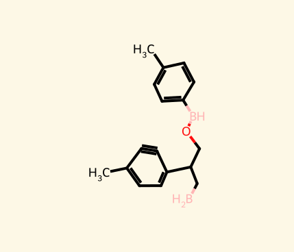 BCC(COBc1ccc(C)cc1)c1c#cc(C)cc1